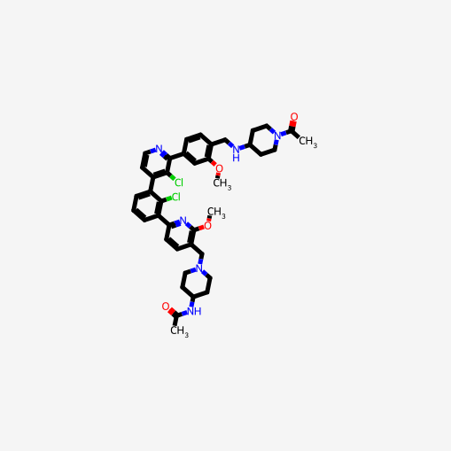 COc1cc(-c2nccc(-c3cccc(-c4ccc(CN5CCC(NC(C)=O)CC5)c(OC)n4)c3Cl)c2Cl)ccc1CNC1CCN(C(C)=O)CC1